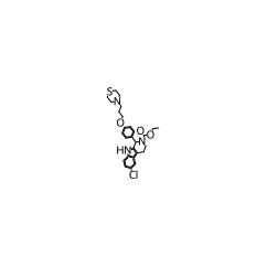 CCOC(=O)N1CCc2c([nH]c3ccc(Cl)cc23)C1c1ccc(OCCCN2CCSCC2)cc1